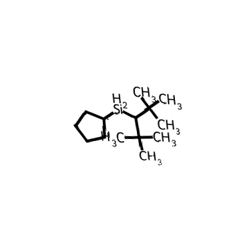 CC(C)(C)C([SiH2][C]1CCCC1)C(C)(C)C